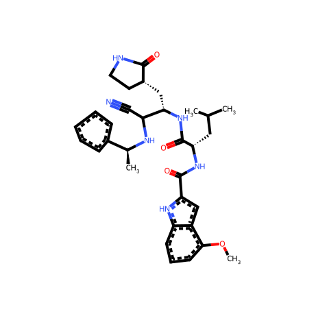 COc1cccc2[nH]c(C(=O)N[C@@H](CC(C)C)C(=O)N[C@@H](C[C@@H]3CCNC3=O)C(C#N)N[C@@H](C)c3ccccc3)cc12